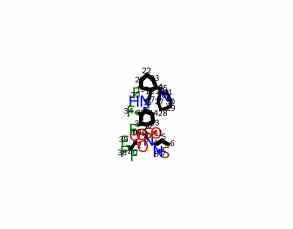 O=C(ON(c1ccsn1)S(=O)(=O)c1ccc(NCc2c(F)cccc2CN2C3CCC2CC3)c(F)c1F)C(F)(F)F